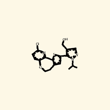 CC(C)n1ncc(CO)c1-c1cc2c(s1)-c1nc(Cl)ccc1OCC2